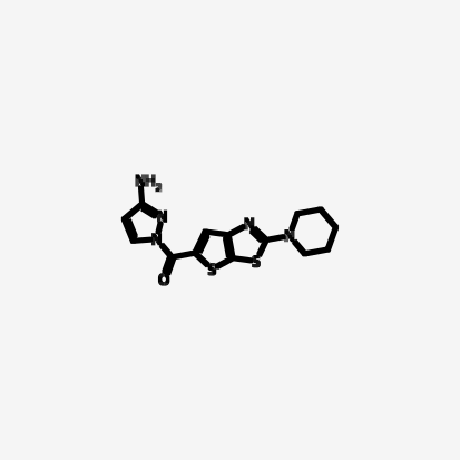 Nc1ccn(C(=O)c2cc3nc(N4CCCCC4)sc3s2)n1